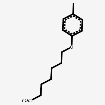 [CH2]c1ccc(OCCCCCCCCCCCCCC)cc1